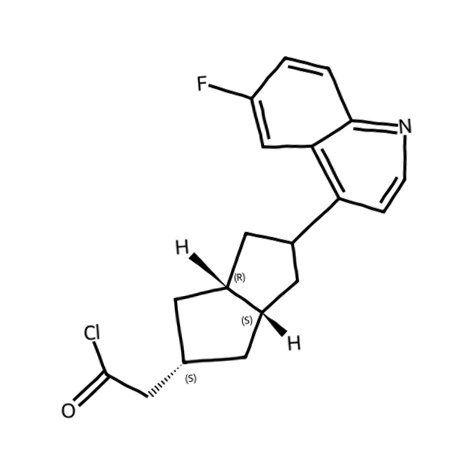 O=C(Cl)C[C@H]1C[C@H]2CC(c3ccnc4ccc(F)cc34)C[C@H]2C1